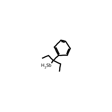 CC[C]([SbH2])(CC)c1ccccc1